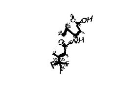 COC(O)CC(NC(=O)/C=C(\C)C(F)(F)F)C(C)C